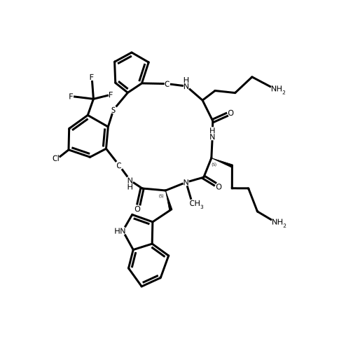 CN1C(=O)[C@H](CCCCN)NC(=O)C(CCCN)NCc2ccccc2Sc2c(cc(Cl)cc2C(F)(F)F)CNC(=O)[C@@H]1Cc1c[nH]c2ccccc12